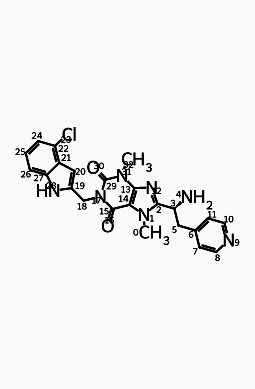 Cn1c([C@@H](N)Cc2ccncc2)nc2c1c(=O)n(Cc1cc3c(Cl)cccc3[nH]1)c(=O)n2C